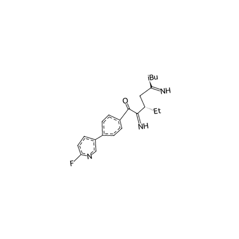 CC[C@@H](CC(=N)[C@H](C)CC)C(=N)C(=O)c1ccc(-c2ccc(F)nc2)cc1